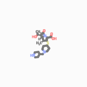 CC(O)[C@H]1C(=O)N2C(C(=O)O)=C(SC3CCN(CC4CCNCC4)CC3)[C@H](C)[C@H]12